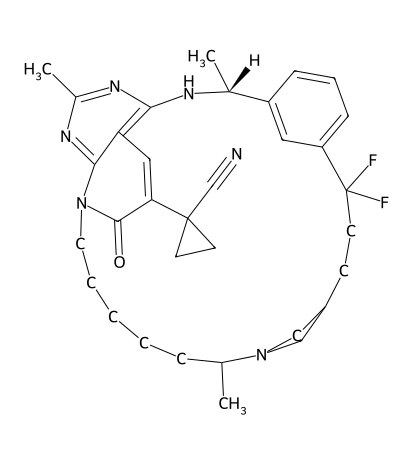 Cc1nc2c3cc(C4(C#N)CC4)c(=O)n(c3n1)CCCCCC(C)N1CC(CCC(F)(F)c3cccc(c3)[C@@H](C)N2)C1